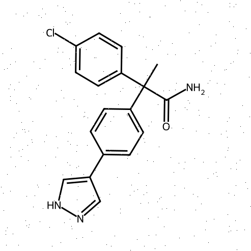 CC(C(N)=O)(c1ccc(Cl)cc1)c1ccc(-c2cn[nH]c2)cc1